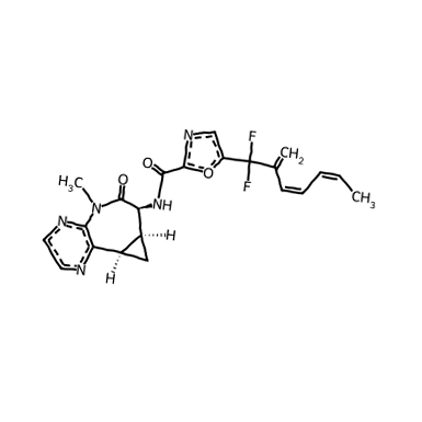 C=C(/C=C\C=C/C)C(F)(F)c1cnc(C(=O)N[C@@H]2C(=O)N(C)c3nccnc3[C@@H]3C[C@H]23)o1